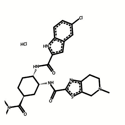 CCCN(CCC)C(=O)[C@H]1CC[C@H](NC(=O)c2cc3cc(Cl)ccc3[nH]2)[C@H](NC(=O)c2nc3c(s2)CN(C)CC3)C1.Cl